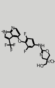 C[C@]1(CO)CN=C(Nc2cc(F)c(Oc3ccnc4[nH]cc(C(F)(F)F)c34)c(F)c2)OC1